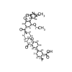 CCOc1cc(C(=O)N2CCC3(CC2)CC(=O)c2cc(-c4ccc(F)c(C(=O)O)c4)ccc2O3)cc(OC)c1-c1cnn(C)c1